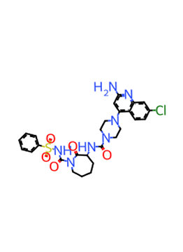 Nc1cc(N2CCN(C(=O)N[C@H]3CCCCN(C(=O)NS(=O)(=O)c4ccccc4)C3=O)CC2)c2ccc(Cl)cc2n1